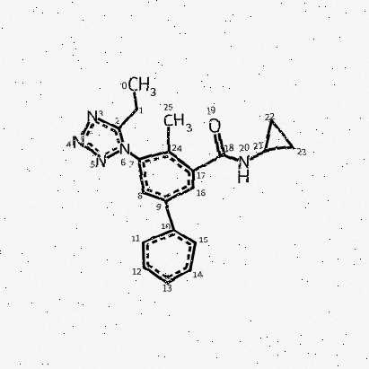 CCc1nnnn1-c1cc(-c2ccccc2)cc(C(=O)NC2CC2)c1C